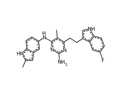 Cc1cc2cc(Nc3nc(N)nc(CCc4c[nH]c5ccc(F)cc45)c3C)ccc2[nH]1